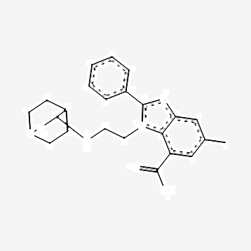 Cc1cc(C(=O)O)c2c(c1)nc(-c1ccccc1)n2CCNC1CN2CCC1CC2